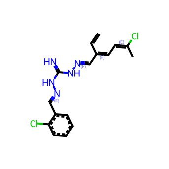 C=CC(/C=N/NC(=N)N/N=C/c1ccccc1Cl)=C\C=C(/C)Cl